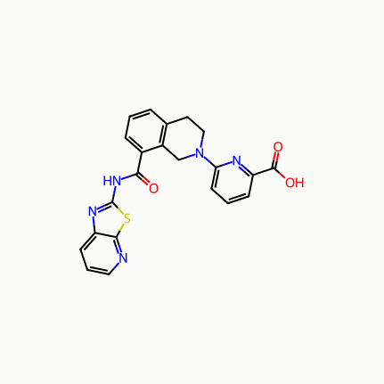 O=C(O)c1cccc(N2CCc3cccc(C(=O)Nc4nc5cccnc5s4)c3C2)n1